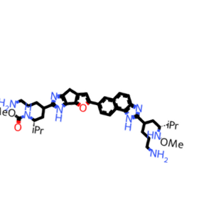 CON[C@H](CC(CCCN)c1nc2ccc3cc(-c4cc5c(o4)-c4[nH]c(C(CCCN)C[C@@H](NC(=O)OC)C(C)C)nc4C5)ccc3c2[nH]1)C(C)C